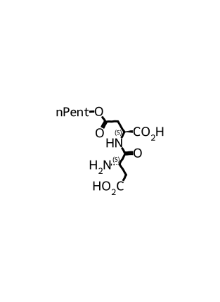 CCCCCOC(=O)C[C@H](NC(=O)[C@@H](N)CC(=O)O)C(=O)O